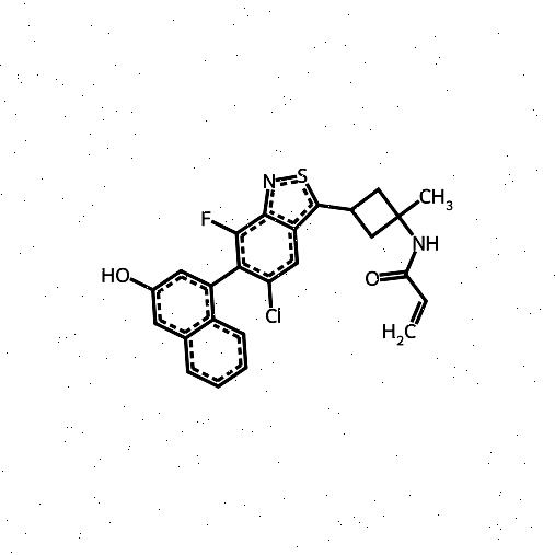 C=CC(=O)NC1(C)CC(c2snc3c(F)c(-c4cc(O)cc5ccccc45)c(Cl)cc23)C1